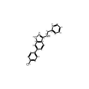 Clc1ccc(-c2ccc3c(NCc4ccccn4)noc3c2)cc1